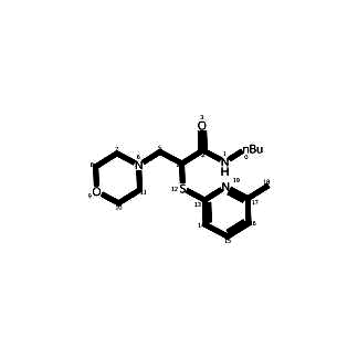 CCCCNC(=O)C(CN1CCOCC1)Sc1cccc(C)n1